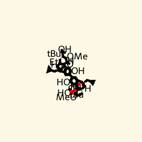 CC[C@]12C[C@H]([C@](C)(O)C(C)(C)C)[C@@H](OC)[C@@H]3Oc4c(O)c(-c5cc6c7c(c5O)O[C@H]5[C@]8(OC)CC[C@@]9(C[C@@H]8[C@](C)(O)C(C)(C)C)[C@@H](C6)N(CC6CC6)CC[C@]759)cc5c4[C@@]31CCN(CC1CC1)[C@@H]2C5